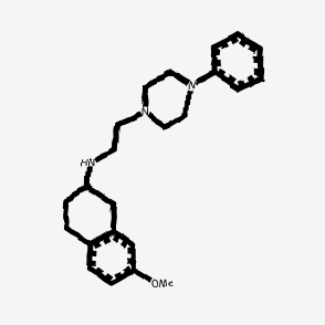 COc1ccc2c(c1)CC(NCCN1CCN(c3ccccc3)CC1)CC2